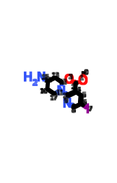 COC(=O)c1cc(I)cnc1N1CCC(N)CC1